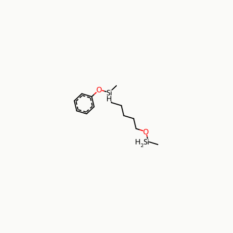 C[SiH2]OCCCCC[SiH](C)Oc1ccccc1